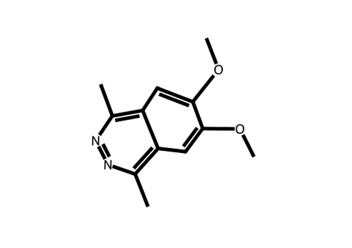 COc1cc2c(C)nnc(C)c2cc1OC